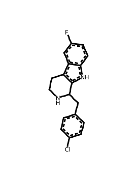 Fc1ccc2[nH]c3c(c2c1)CCNC3Cc1ccc(Cl)cc1